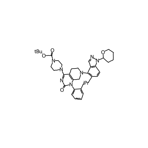 Cc1ccc2c(cnn2C2CCCCO2)c1N1CCc2c(N3CCN(C(=O)OC(C)(C)C)CC3)nc(=O)n(-c3ccccc3C(C)C)c2C1